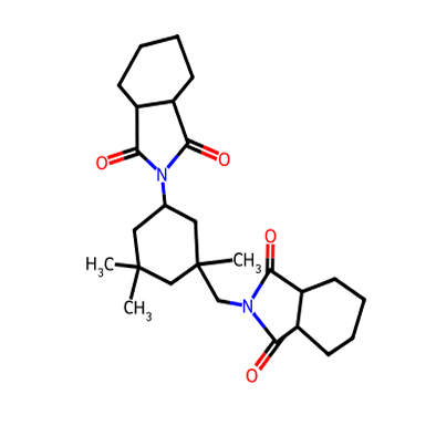 CC1(C)CC(N2C(=O)C3CCCCC3C2=O)CC(C)(CN2C(=O)C3CCCCC3C2=O)C1